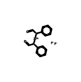 O=C[N]([Zr+2][N](C=O)c1ccccc1)c1ccccc1.[F-].[F-]